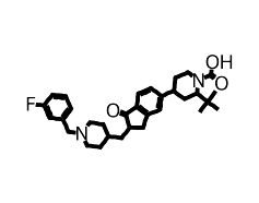 CC(C)(C)C1CC(c2ccc3c(c2)CC(CC2CCN(Cc4cccc(F)c4)CC2)C3=O)CCN1C(=O)O